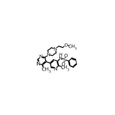 COCCN1CCN(c2ncnc(C)c2-c2cnc(C)c(NS(=O)(=O)c3ccccc3)c2)CC1